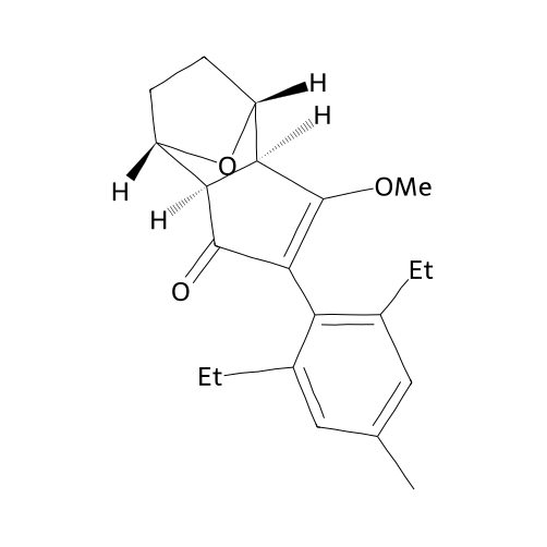 CCc1cc(C)cc(CC)c1C1=C(OC)[C@H]2[C@@H](C1=O)[C@@H]1CC[C@H]2O1